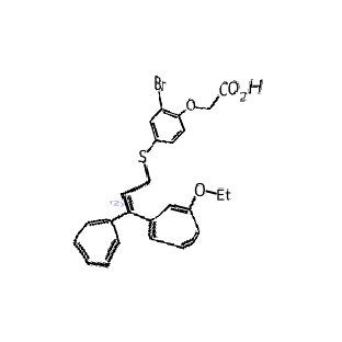 CCOc1cccc(/C(=C\CSc2ccc(OCC(=O)O)c(Br)c2)c2ccccc2)c1